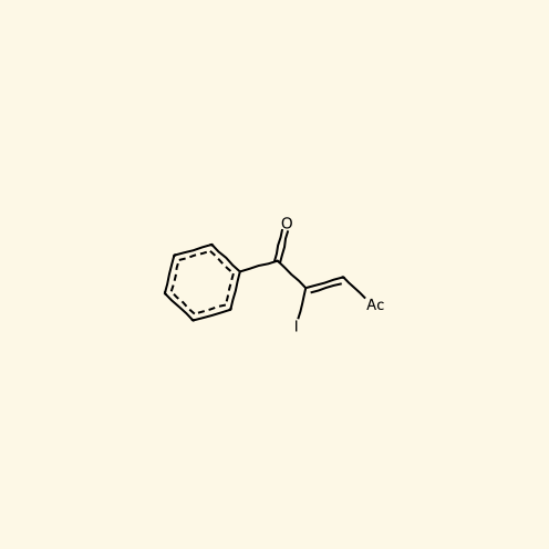 CC(=O)C=C(I)C(=O)c1ccccc1